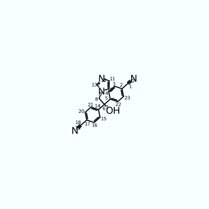 N#Cc1ccc(C(O)(Cn2ccnc2)c2ccc(C#N)cc2)cc1